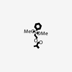 C=C(C)C(=O)OCC[Si](OC)(OC)c1ccccc1